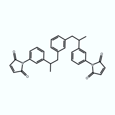 CC(Cc1cccc(CC(C)c2cccc(N3C(=O)C=CC3=O)c2)c1)c1cccc(N2C(=O)C=CC2=O)c1